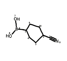 N#CC1CCC(B(O)O)CC1